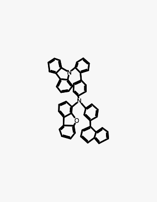 c1cc(-c2cccc3ccccc23)cc(N(c2ccc(-c3ccccc3-n3c4ccccc4c4ccccc43)cc2)c2cccc3c2oc2ccccc23)c1